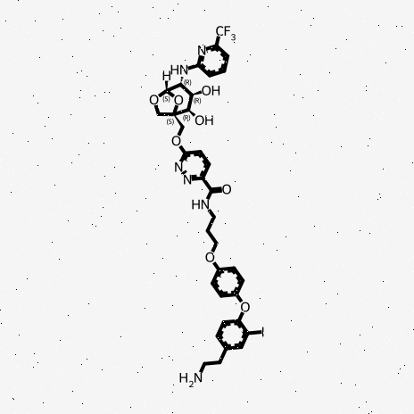 NCCc1ccc(Oc2ccc(OCCCNC(=O)c3ccc(OC[C@@]45CO[C@@H](O4)[C@H](Nc4cccc(C(F)(F)F)n4)[C@@H](O)[C@H]5O)nn3)cc2)c(I)c1